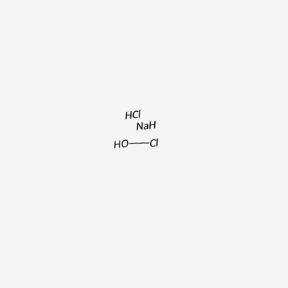 Cl.OCl.[NaH]